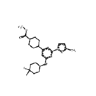 COC(=O)N1CCC(c2cc(NC3CCC(F)(F)CC3)nc(-n3ccc(C)n3)n2)CC1